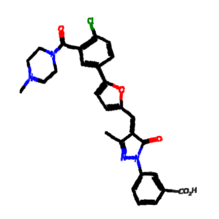 CC1=NN(c2cccc(C(=O)O)c2)C(=O)/C1=C/c1ccc(-c2ccc(Cl)c(C(=O)N3CCN(C)CC3)c2)o1